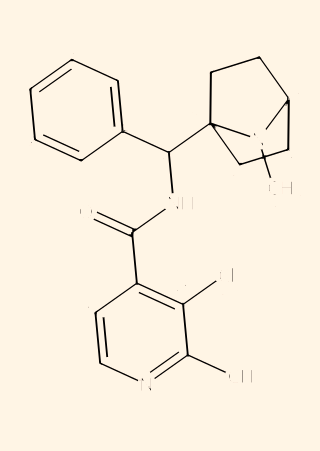 Cc1nccc(C(=O)NC(c2ccccc2)C23CCC(CC2)N3C)c1Cl